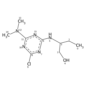 CCC(CO)Nc1nc(Cl)nc(N(C)C)n1